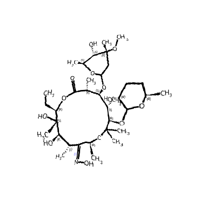 CC[C@H]1OC(=O)[C@H](C)[C@@H](OC2C[C@@](C)(OC)[C@@H](O)[C@H](C)O2)[C@H](C)[C@@H](OC2O[C@H](C)CC[C@H]2O)C(C)(C)C[C@@H](C)/C(=N\O)[C@H](C)[C@@H](O)[C@]1(C)O